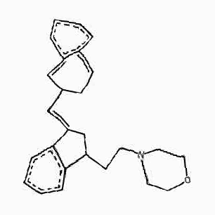 C1=c2ccccc2=CC(/C=C2\CC(CCN3CCOCC3)c3ccccc32)C1